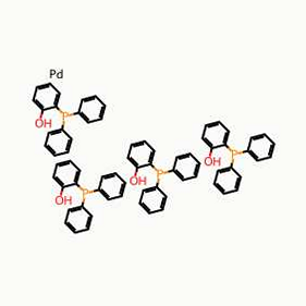 Oc1ccccc1P(c1ccccc1)c1ccccc1.Oc1ccccc1P(c1ccccc1)c1ccccc1.Oc1ccccc1P(c1ccccc1)c1ccccc1.Oc1ccccc1P(c1ccccc1)c1ccccc1.[Pd]